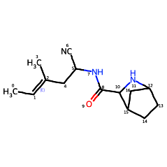 C/C=C(\C)CC(C#N)NC(=O)C1NC2CCC1C2